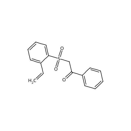 C=Cc1ccccc1S(=O)(=O)CC(=O)c1ccccc1